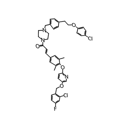 Cc1cc(C=CC(=O)N2CCN(Cc3ccc(CCOc4ccc(Cl)cc4)cc3)CC2)cc(C)c1Oc1ccc(OCc2ccc(F)cc2Cl)cn1